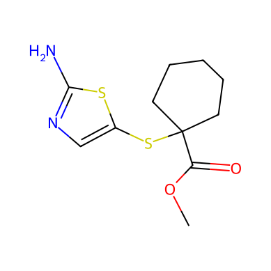 COC(=O)C1(Sc2cnc(N)s2)CCCCC1